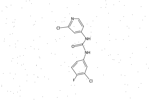 O=C(Nc1ccnc(Cl)c1)Nc1ccc(F)c(Cl)c1